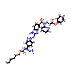 CCCCCCOC(=O)/N=C(\N)c1ccc(NCc2nc3cc(C(=O)N(CCC(=O)Oc4cccc(F)c4)c4ccccn4)ccc3n2C)cc1